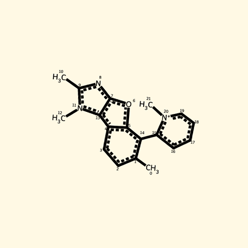 Cc1ccc2c(oc3nc(C)n(C)c32)c1-c1cccc[n+]1C